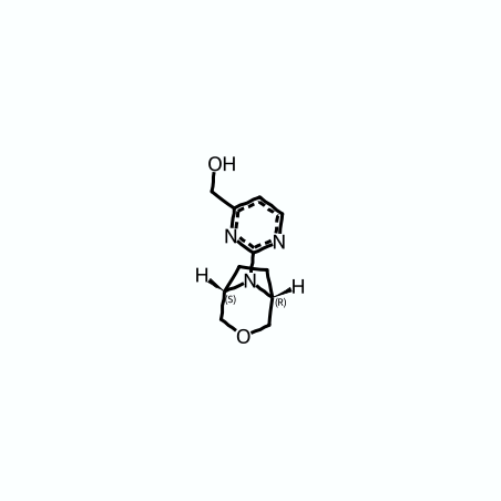 OCc1ccnc(N2[C@@H]3CC[C@H]2COC3)n1